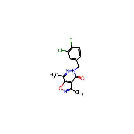 Cc1nn(Cc2ccc(F)c(Cl)c2)c(=O)c2c(C)noc12